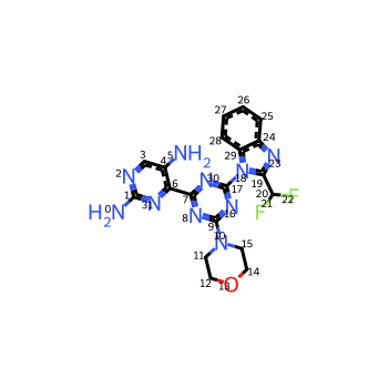 Nc1ncc(N)c(-c2nc(N3CCOCC3)nc(-n3c(C(F)F)nc4ccccc43)n2)n1